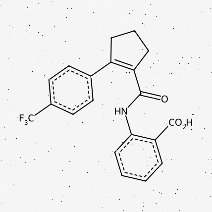 O=C(Nc1ccccc1C(=O)O)C1=C(c2ccc(C(F)(F)F)cc2)CCC1